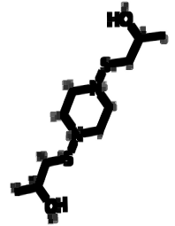 CC(O)CSN1CCN(SCC(C)O)CC1